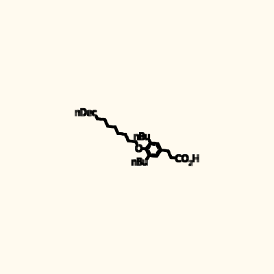 CCCCCCCCCCCCCCCCCCOc1c(CCCC)cc(CCC(=O)O)cc1CCCC